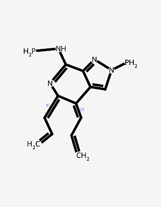 C=C/C=c1\c(=C/C=C)nc(NP)c2nn(P)cc12